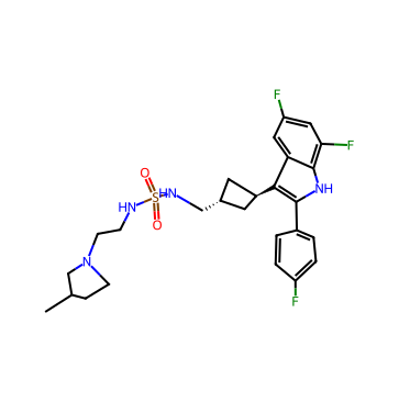 CC1CCN(CCNS(=O)(=O)NC[C@H]2C[C@H](c3c(-c4ccc(F)cc4)[nH]c4c(F)cc(F)cc43)C2)C1